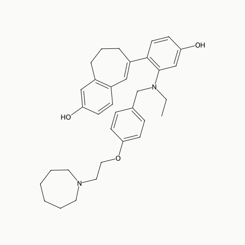 CCN(Cc1ccc(OCCN2CCCCCC2)cc1)c1cc(O)ccc1C1=Cc2ccc(O)cc2CCC1